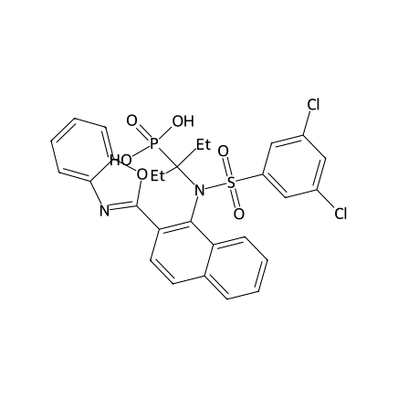 CCC(CC)(N(c1c(-c2nc3ccccc3o2)ccc2ccccc12)S(=O)(=O)c1cc(Cl)cc(Cl)c1)P(=O)(O)O